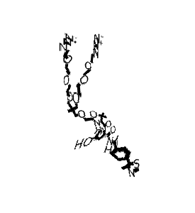 Cc1ncsc1-c1ccc([C@H](C)NC(=O)[C@@H]2C[C@H](O)CN2C(=O)[C@@H](NC(=O)COCC(C)(COCCOCCOCCN=[N+]=[N-])COCCOCCOCCN=[N+]=[N-])C(C)(C)C)cc1